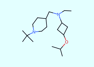 CCN(CC1CCN(C(C)(C)C)CC1)C1CC(OC(C)C)C1